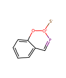 [S-][O+]1Oc2ccccc2C=P1